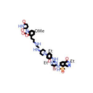 CCOc1cc(N2CCC(NCCNCCCc3cc(OC)cc4c3oc(=O)n4C3CCC(=O)NC3=O)CC2)c(CC)cc1Nc1ncc(Br)c(Nc2ccc3c(=O)n(CC)ncc3c2P(C)(C)=O)n1